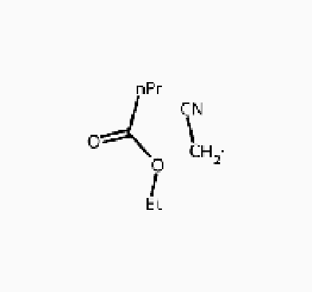 [CH2]C#N.[CH2]CCC(=O)OCC